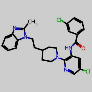 Cc1nc2ccccc2n1CCC1CCN(c2ncc(Cl)cc2NC(=O)c2cccc(Cl)c2)CC1